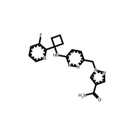 NC(=O)c1cnn(Cc2ccc(NC3(c4ncccc4F)CCC3)nn2)c1